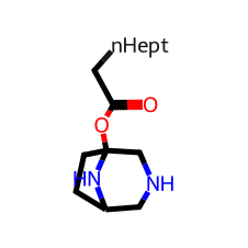 CCCCCCCCC(=O)OC12CCC(CNC1)N2